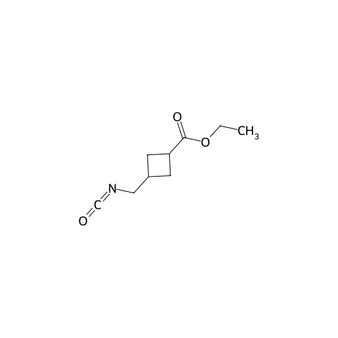 CCOC(=O)C1CC(CN=C=O)C1